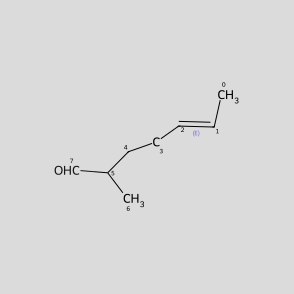 C/C=C/CCC(C)C=O